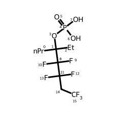 CCCC(CC)(OP(=O)(O)O)C(F)(F)C(F)(F)CC(F)(F)F